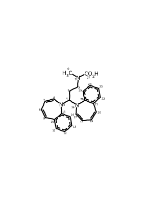 CN(CCC(N1C=CC=Cc2ccccc21)N1C=CC=Cc2ccccc21)C(=O)O